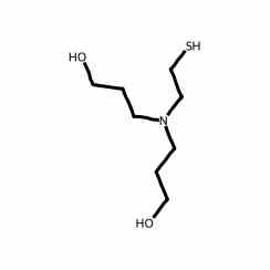 OCCCN(CCS)CCCO